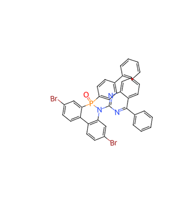 O=P1(c2ccc(-c3ccccc3)cc2)c2cc(Br)ccc2-c2ccc(Br)cc2N1c1nc(-c2ccccc2)c2ccccc2n1